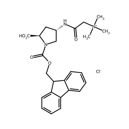 C[N+](C)(C)CC(=O)N[C@H]1C[C@H](C(=O)O)N(C(=O)OCC2c3ccccc3-c3ccccc32)C1.[Cl-]